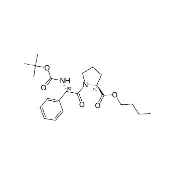 CCCCOC(=O)[C@@H]1CCCN1C(=O)[C@@H](NC(=O)OC(C)(C)C)c1ccccc1